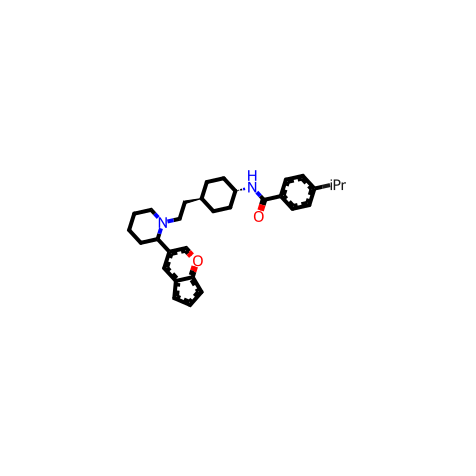 CC(C)c1ccc(C(=O)N[C@H]2CC[C@H](CCN3CCCCC3c3coc4cccc-4c3)CC2)cc1